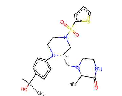 CCCC1C(=O)NCCN1C[C@H]1CN(S(=O)(=O)c2cccs2)CCN1c1ccc(C(C)(O)C(F)(F)F)cc1